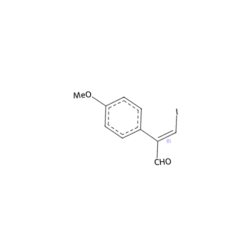 COc1ccc(/C(C=O)=C\I)cc1